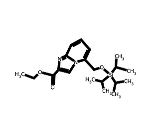 CCOC(=O)c1cn2c(CO[Si](C(C)C)(C(C)C)C(C)C)cccc2n1